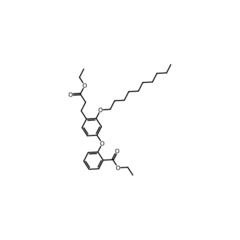 CCCCCCCCCCOc1cc(Oc2ccccc2C(=O)OCC)ccc1CCC(=O)OCC